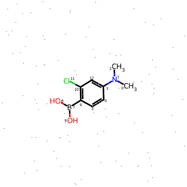 CN(C)c1ccc(B(O)O)c(Cl)c1